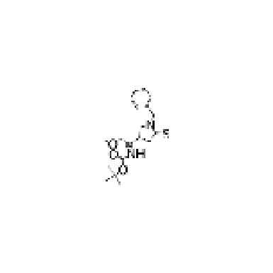 COC[C@@H](NC(=O)OC(C)(C)C)C1CC(=S)N(Cc2ccccc2)C1